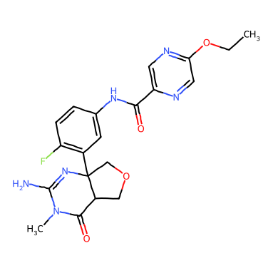 CCOc1cnc(C(=O)Nc2ccc(F)c(C34COCC3C(=O)N(C)C(N)=N4)c2)cn1